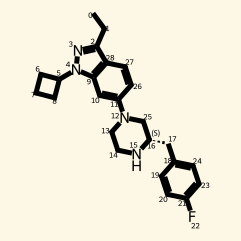 CCc1nn(C2CCC2)c2cc(N3CCN[C@@H](Cc4ccc(F)cc4)C3)ccc12